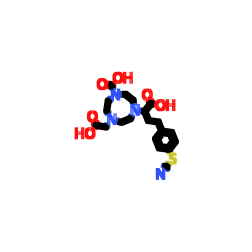 N#CSc1ccc(CCC(C(=O)O)N2CCN(CC(=O)O)CCN(C(=O)O)CC2)cc1